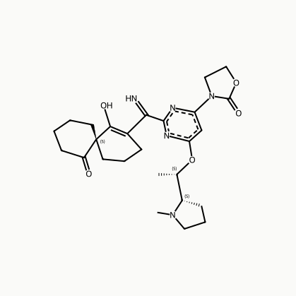 C[C@H](Oc1cc(N2CCOC2=O)nc(C(=N)C2=C(O)[C@]3(CCCCC3=O)CCC2)n1)[C@@H]1CCCN1C